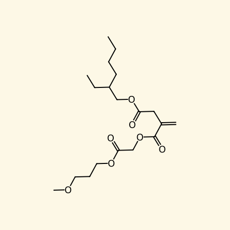 C=C(CC(=O)OCC(CC)CCCC)C(=O)OCC(=O)OCCCOC